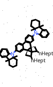 CCCCCCCC1C[C@@]23c4cc(N5c6ccccc6C6(C)CCCCC56C)ccc4-c4ccc(N5c6ccccc6C6(C)CCCCC56C)cc4[C@]24CC(CCCCCCC)C134